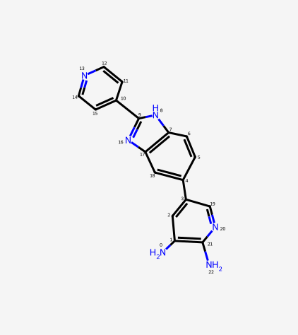 Nc1cc(-c2ccc3[nH]c(-c4ccncc4)nc3c2)cnc1N